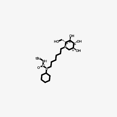 CC(C)(C)N[S+]([O-])N(CCCCCCN1C[C@H](O)[C@@H](O)[C@H](O)[C@H]1CO)C1CCCCC1